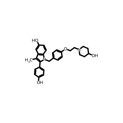 Cc1c(-c2ccc(O)cc2)n(Cc2ccc(OCCN3CCC(O)CC3)cc2)c2ccc(O)cc12